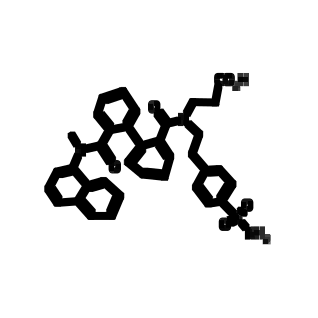 CN(C(=O)c1ccccc1-c1ccccc1C(=O)N(CCC(=O)O)CCc1ccc(S(N)(=O)=O)cc1)c1cccc2ccccc12